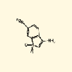 N#Cc1ccc2c(c1)S(=O)(=O)C=C2N